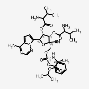 CC(C)OC(=O)[C@H](C)N[P@](=O)(OC[C@]1(C#N)O[C@@H](c2ccc3c(N)ncnn23)[C@H](OC(=O)C(N)C(C)C)[C@@H]1OC(=O)C(N)C(C)C)Oc1ccccc1